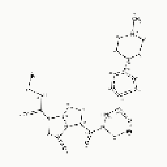 CC(C)CNC(=O)N1CC(=O)C2C1CCN2C(=O)C(CC(C)C)NC(=O)c1ccc(N2CCN(C)CC2)cc1